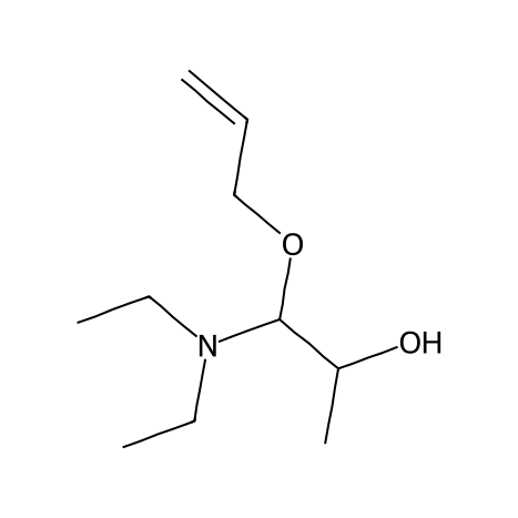 C=CCOC(C(C)O)N(CC)CC